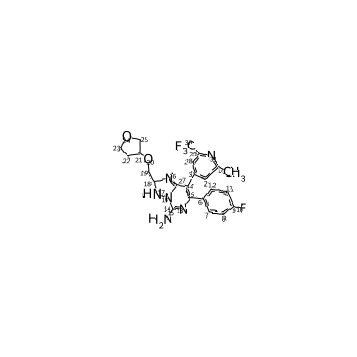 Cc1cc(C2=C(c3ccc(F)cc3)N=C(N)N3NC(COC4CCOC4)N=C23)cc(C(F)(F)F)n1